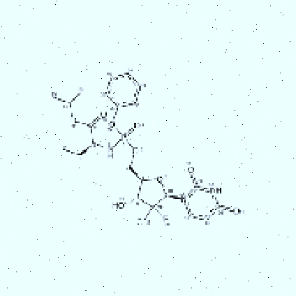 CC[C@H](NP(=O)(OC[C@H]1O[C@@H](n2ccc(=O)[nH]c2=O)[C@@](F)(Cl)[C@@H]1O)Oc1ccccc1)C(=O)OC(C)C